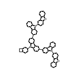 c1ccc2c(c1)oc1ccc(-n3c4ccccc4c4cc(-c5ccc6c(c5)c5cc(-c7ccc8c(c7)c7ccccc7n8-c7ccc8oc9ccccc9c8c7)ccc5n6-c5ccc6c(c5)CC6)ccc43)cc12